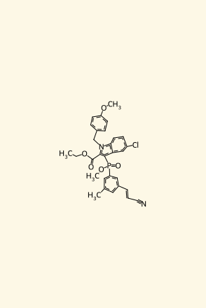 CCOC(=O)c1c(P(=O)(OC)c2cc(C)cc(/C=C/C#N)c2)c2cc(Cl)ccc2n1Cc1ccc(OC)cc1